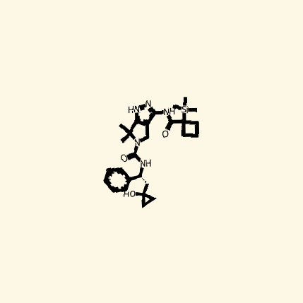 CC1(C)c2[nH]nc(NC(=O)C3([Si](C)(C)C)CCC3)c2CN1C(=O)N[C@H](CC1(O)CC1)c1ccccc1